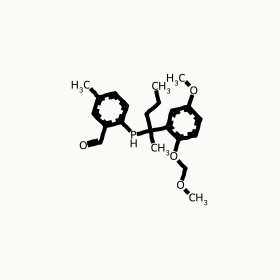 CCCC(C)(Pc1ccc(C)cc1C=O)c1cc(OC)ccc1OCOC